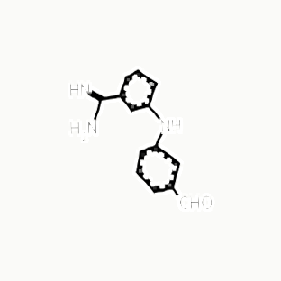 N=C(N)c1cccc(Nc2cccc(C=O)c2)c1